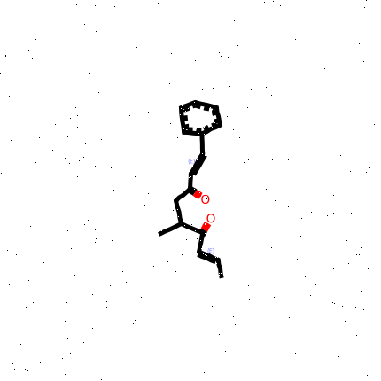 C/C=C/C(=O)C(C)CC(=O)/C=C/c1ccccc1